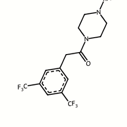 CCCN1CCN(C(=O)Cc2cc(C(F)(F)F)cc(C(F)(F)F)c2)CC1